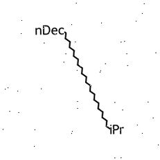 [CH2]CCCCCCCCCCCCCCCCCCCCCCCCCCCCCCCC(C)C